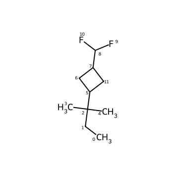 CCC(C)(C)C1CC(C(F)F)C1